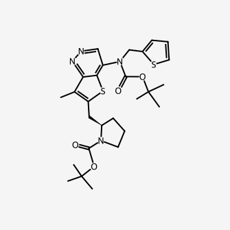 Cc1c(C[C@H]2CCCN2C(=O)OC(C)(C)C)sc2c(N(Cc3cccs3)C(=O)OC(C)(C)C)cnnc12